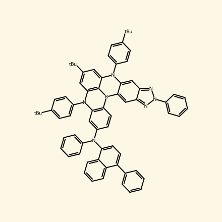 CC(C)(C)c1ccc(N2c3cc(N(c4ccccc4)c4ccc(-c5ccccc5)c5ccccc45)ccc3B3c4cc5nn(-c6ccccc6)nc5cc4N(c4ccc(C(C)(C)C)cc4)c4cc(C(C)(C)C)cc2c43)cc1